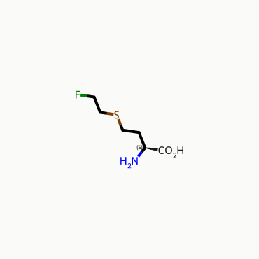 N[C@@H](CCSCCF)C(=O)O